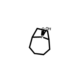 O=P1(O)C2CCCCC1CC2